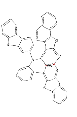 c1ccc(N(c2ccc3c(c2)sc2ccccc23)c2cccc3oc4c5ccccc5ccc4c23)c(-c2cccc3c2sc2ccccc23)c1